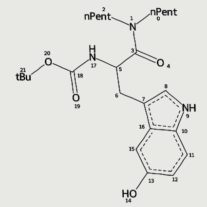 CCCCCN(CCCCC)C(=O)C(Cc1c[nH]c2ccc(O)cc12)NC(=O)OC(C)(C)C